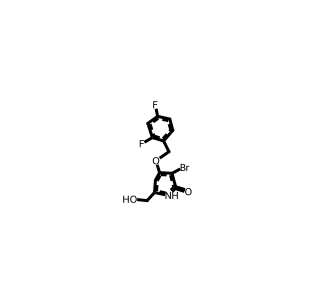 O=c1[nH]c(CO)cc(OCc2ccc(F)cc2F)c1Br